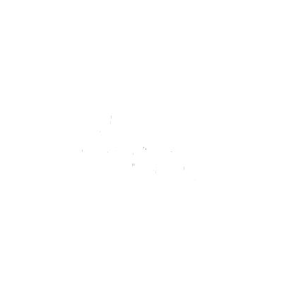 Fc1cc(-c2cccc(SC3CCCC3)n2)cc(F)c1F